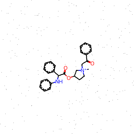 C[N@@+]1(CC(=O)c2ccccc2)CCC(OC(=O)C(Nc2ccccc2)c2ccccc2)C1